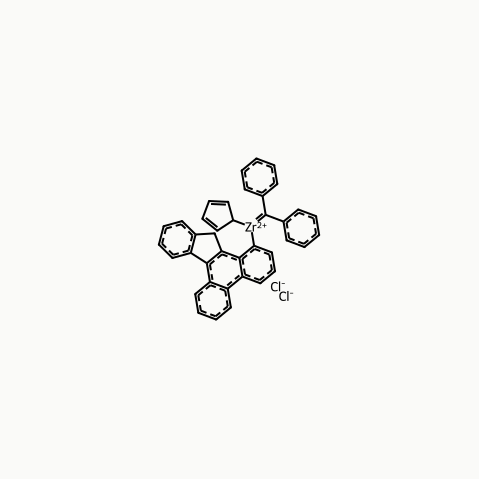 C1=C[CH]([Zr+2](=[C](c2ccccc2)c2ccccc2)[c]2cccc3c2c2c(c4ccccc43)-c3ccccc3C2)C=C1.[Cl-].[Cl-]